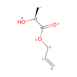 C=CCOC(=O)[C@H](C)O